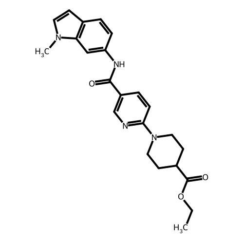 CCOC(=O)C1CCN(c2ccc(C(=O)Nc3ccc4ccn(C)c4c3)cn2)CC1